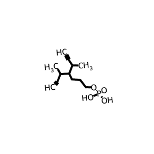 C#CC(C)C(CCCOP(=O)(O)O)C(C)C#C